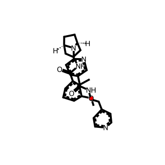 COc1cccc(C(=O)N[C@H]2C[C@H]3CC[C@@H](C2)N3c2ccc(C(=O)NCCc3ccncc3)cn2)c1C